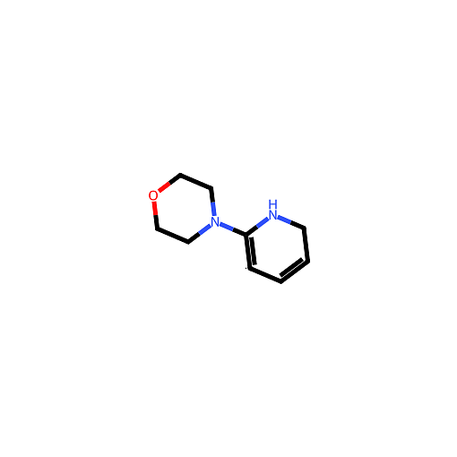 [C]1=C(N2CCOCC2)NCC=C1